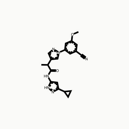 COc1cc(C#N)cc(-n2cc(C(C)C(=O)Nc3cc(C4CC4)n[nH]3)cn2)c1